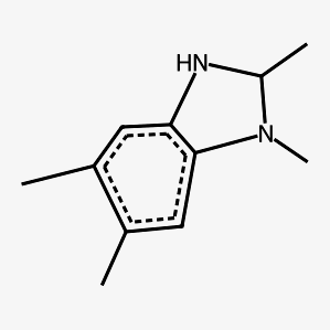 Cc1cc2c(cc1C)N(C)C(C)N2